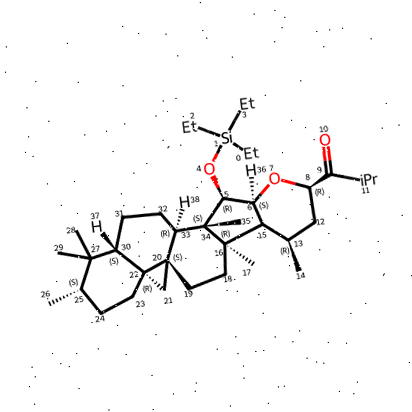 CC[Si](CC)(CC)O[C@H]1[C@H]2O[C@@H](C(=O)C(C)C)C[C@@H](C)C2[C@@]2(C)CC[C@@]34C[C@@]35CC[C@H](C)C(C)(C)[C@@H]5CC[C@H]4[C@]12C